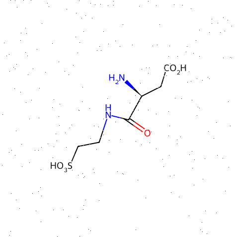 N[C@@H](CC(=O)O)C(=O)NCCS(=O)(=O)O